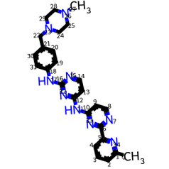 Cc1cccc(-c2nccc(Nc3ccnc(Nc4ccc(CN5CCN(C)CC5)cc4)n3)n2)n1